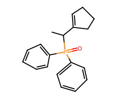 CC(C1=CCCC1)P(=O)(c1ccccc1)c1ccccc1